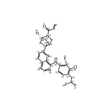 C=CC(=O)N1CC2CC[C@@H]1CN2c1ccc2ncnc(Nc3ccc(CC(F)F)c(Cl)c3F)c2n1